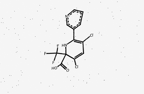 O=C(O)C1(C(F)(F)F)NC(c2cccnc2)=C(Cl)C=C1Cl